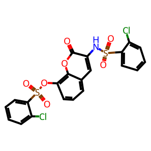 O=c1oc2c(OS(=O)(=O)c3ccccc3Cl)cccc2cc1NS(=O)(=O)c1ccccc1Cl